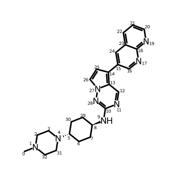 CN1CCN([C@H]2CC[C@H](Nc3ncc4c(-c5cnc6ncccc6c5)ccn4n3)CC2)CC1